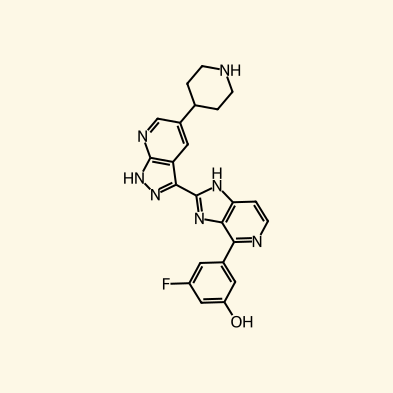 Oc1cc(F)cc(-c2nccc3[nH]c(-c4n[nH]c5ncc(C6CCNCC6)cc45)nc23)c1